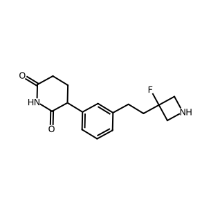 O=C1CCC(c2cccc(CCC3(F)CNC3)c2)C(=O)N1